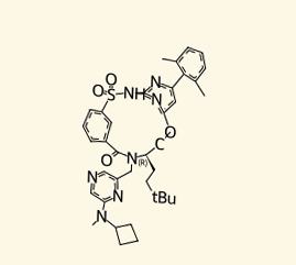 Cc1cccc(C)c1-c1cc2nc(n1)NS(=O)(=O)c1cccc(c1)C(=O)N(Cc1cncc(N(C)C3CCC3)n1)[C@H](CCC(C)(C)C)CO2